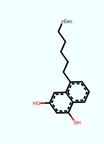 CCCCCCCCCCCCCCCc1cccc2c(O)cc(O)cc12